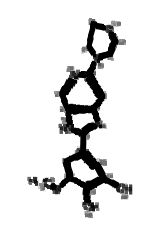 COc1cc(-c2nc3cc(N4CCOCC4)ncc3[nH]2)cc(O)c1O